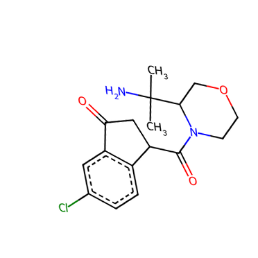 CC(C)(N)C1COCCN1C(=O)C1CC(=O)c2cc(Cl)ccc21